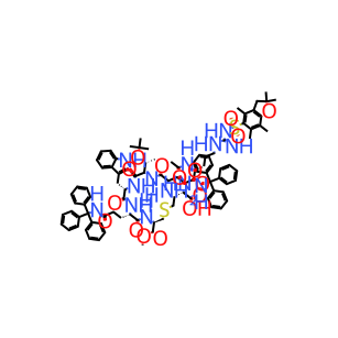 COC(=O)[C@H](CSCC[C@H](NC(=O)[C@@H](CCCNC(=N)NS(=O)(=O)c1c(C)c(C)c2c(c1C)CC(C)(C)O2)NC(C)=O)C(=O)O)NC(=O)[C@H](CCC(=O)NC(c1ccccc1)(c1ccccc1)c1ccccc1)NC(=O)[C@H](Cc1c[nH]c2ccccc12)NC(=O)[C@@H](NC(=O)[C@@H](N)CCC(=O)NC(c1ccccc1)(c1ccccc1)c1ccccc1)[C@@H](C)OC(C)(C)C